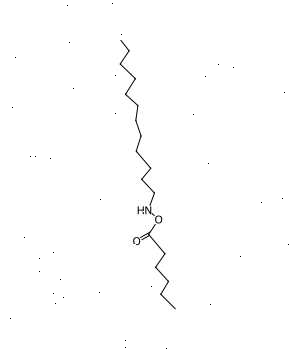 CCCCCCCCCCCCNOC(=O)CCCCC